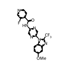 COc1ccc2c(c1)nc(C(F)(F)F)n2-c1cnc(NC(=O)c2ccncc2F)cn1